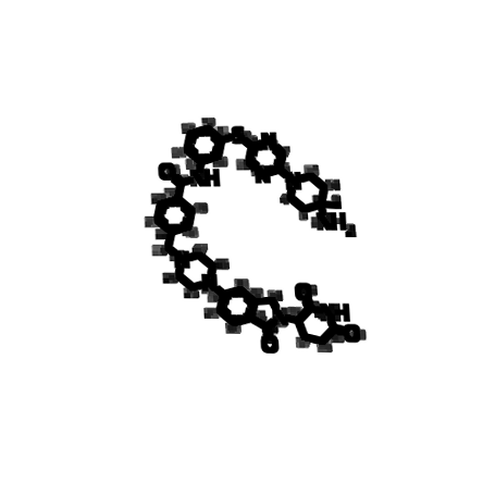 CC1(N)CCN(c2cnc(Sc3cccc(NC(=O)c4ccc(CN5CCN(c6ccc7c(c6)CN(C6CCC(=O)NC6=O)C7=O)CC5)cc4)c3)cn2)CC1